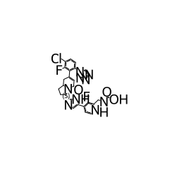 O=C(O)NCc1nccc(-c2cnc([C@@H]3CCC4CC(c5c(-n6cnnn6)ccc(Cl)c5F)=CC(=O)N43)[nH]2)c1F